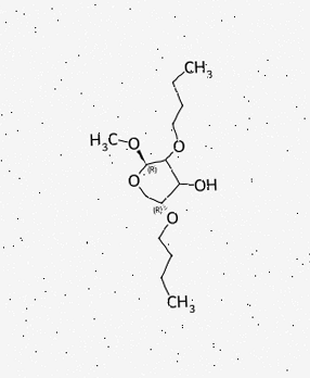 CCCCOC1C(O)[C@H](OCCCC)CO[C@H]1OC